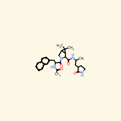 CC1(C)C2CN(C(=O)C(Cc3ccc4ccccc4c3)NC(=O)C(F)(F)F)C(C(=O)NC(C#N)CC3CCNC3=O)C21